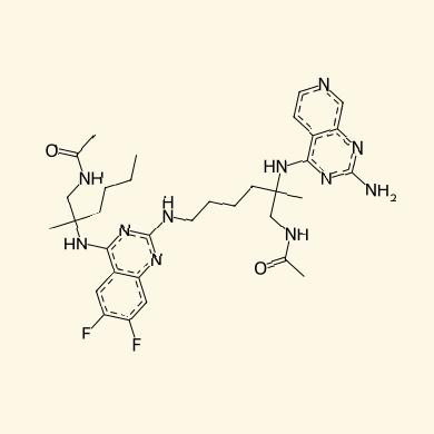 CCCCC(C)(CNC(C)=O)Nc1nc(NCCCCC(C)(CNC(C)=O)Nc2nc(N)nc3cnccc23)nc2cc(F)c(F)cc12